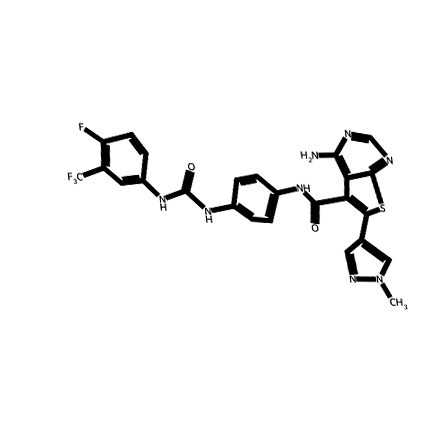 Cn1cc(-c2sc3ncnc(N)c3c2C(=O)Nc2ccc(NC(=O)Nc3ccc(F)c(C(F)(F)F)c3)cc2)cn1